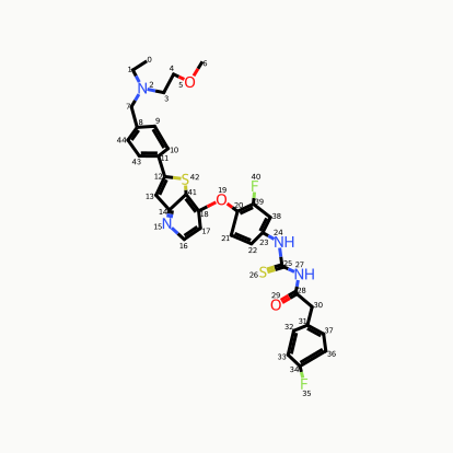 CCN(CCOC)Cc1ccc(-c2cc3nccc(Oc4ccc(NC(=S)NC(=O)Cc5ccc(F)cc5)cc4F)c3s2)cc1